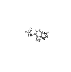 CC(=O)Nc1ccc2[nH]nnc2c1.[Ag]